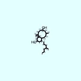 CCCC(C)CCC[C@@H]1C[C@H](O)C[C@@H]2C(C)CC[C@@H](O)CC(C)CCC12